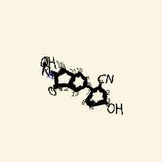 N#Cc1cc(O)ccc1-c1ccc2c(c1)C(=O)/C(=N/O)C2